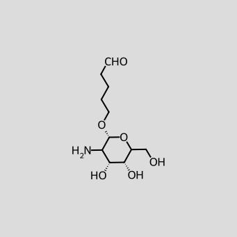 NC1[C@H](OCCCCC=O)OC(CO)[C@H](O)[C@@H]1O